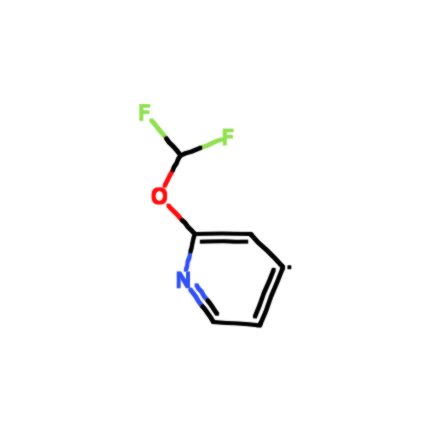 FC(F)Oc1c[c]ccn1